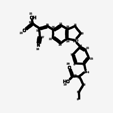 CCCC(Sc1ccc(N2CCc3cc(/C=C(\C#N)C(=O)O)ccc32)cc1)C(=O)O